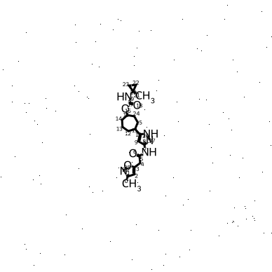 Cc1cc(CC(=O)Nc2cc(C3CCCC(OC(=O)NC4(C)CC4)CC3)[nH]n2)on1